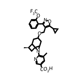 Cc1cc(C(=O)O)cnc1N1C2CC(OCc3c(-c4ccccc4OC(F)(F)F)noc3C3CC3)CC3[C@H](C)CC321